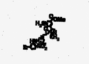 COC(=O)c1cc(-c2cnn(C)c2OCCN(CCNc2cc(Br)ccc2[N+](=O)[O-])CC(F)F)c(=O)n(C)c1